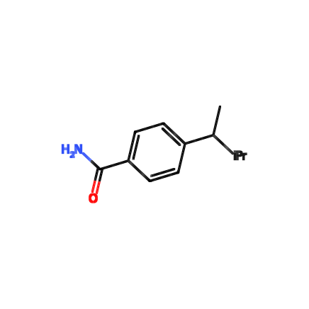 CC(C)C(C)c1ccc(C(N)=O)cc1